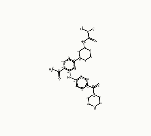 CCN(CC)C(=O)NC1CCCN(c2nnc(C(N)=O)c(Nc3ccc(C(=O)N4CCOCC4)cc3)n2)C1